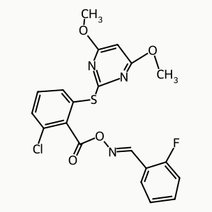 COc1cc(OC)nc(Sc2cccc(Cl)c2C(=O)O/N=C/c2ccccc2F)n1